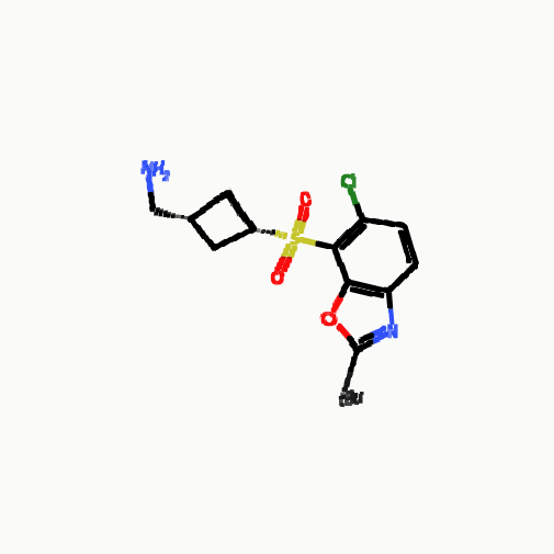 CC(C)(C)c1nc2ccc(Cl)c(S(=O)(=O)[C@H]3C[C@@H](CN)C3)c2o1